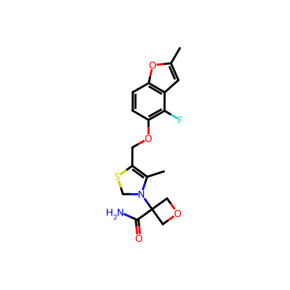 CC1=C(COc2ccc3oc(C)cc3c2F)SCN1C1(C(N)=O)COC1